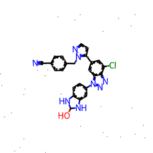 N#Cc1ccc(Cn2nccc2-c2cc(Cl)c3nnn(-c4ccc5c(c4)NC(O)N5)c3c2)cc1